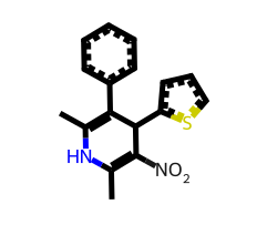 CC1=C(c2ccccc2)C(c2cccs2)C([N+](=O)[O-])=C(C)N1